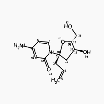 C=CC[C@]1(n2ccc(N)nc2=O)C[C@H](O)[C@@H](CO)O1